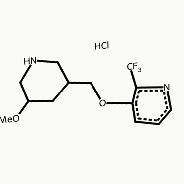 COC1CNCC(COc2cccnc2C(F)(F)F)C1.Cl